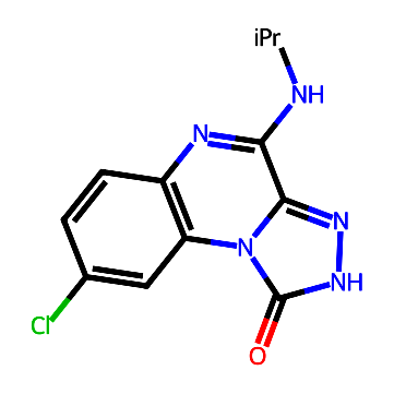 CC(C)Nc1nc2ccc(Cl)cc2n2c(=O)[nH]nc12